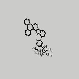 [2H]C([2H])([2H])c1cnc(-c2cccc3c2oc2c3ccc3c4ccccc4c4ccccc4c32)cc1C([2H])([2H])C(C)(C)C